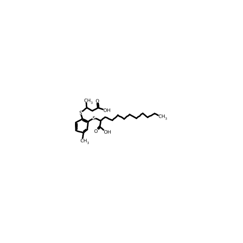 CCCCCCCCCCC(Sc1cc(C)ccc1SC(C)CC(=O)O)C(=O)O